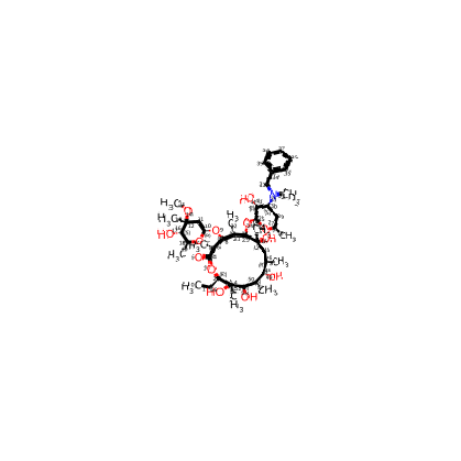 CC[C@H]1OC(=O)[C@H](C)[C@@H](O[C@H]2C[C@@](C)(OC)[C@@H](O)[C@H](C)O2)[C@H](C)[C@@H](O[C@@H]2O[C@H](C)C[C@H](N(C)Cc3ccccc3)[C@H]2O)C(C)(O)C[C@@H](C)[C@H](O)[C@H](C)[C@@H](O)[C@]1(C)O